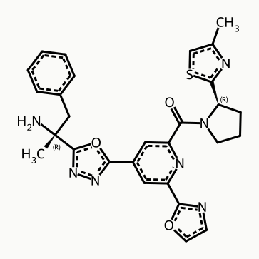 Cc1csc([C@H]2CCCN2C(=O)c2cc(-c3nnc([C@](C)(N)Cc4ccccc4)o3)cc(-c3ncco3)n2)n1